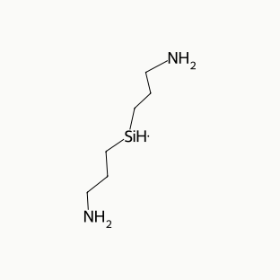 NCCC[SiH]CCCN